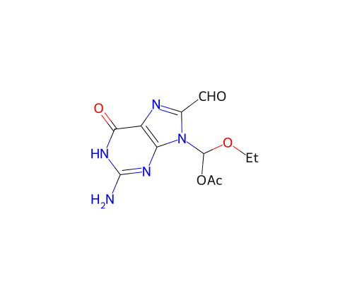 CCOC(OC(C)=O)n1c(C=O)nc2c(=O)[nH]c(N)nc21